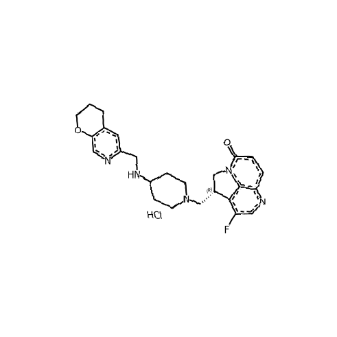 Cl.O=c1ccc2ncc(F)c3c2n1C[C@H]3CN1CCC(NCc2cc3c(cn2)OCCC3)CC1